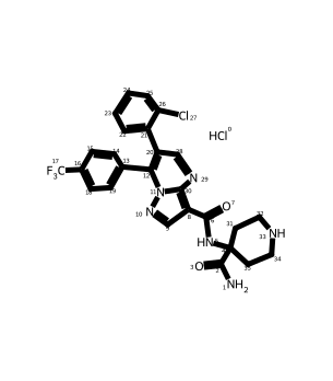 Cl.NC(=O)C1(NC(=O)c2cnn3c(-c4ccc(C(F)(F)F)cc4)c(-c4ccccc4Cl)cnc23)CCNCC1